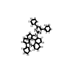 c1ccc(-c2cc(-c3ccccc3)nc(-n3c4ccc5cccc6c5c4c4c5c(ccc7c8ccccc8n6c75)ccc43)n2)cc1